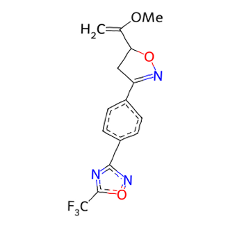 C=C(OC)C1CC(c2ccc(-c3noc(C(F)(F)F)n3)cc2)=NO1